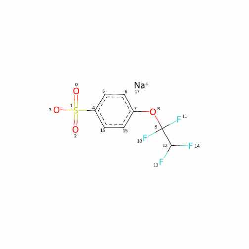 O=S(=O)([O-])c1ccc(OC(F)(F)C(F)F)cc1.[Na+]